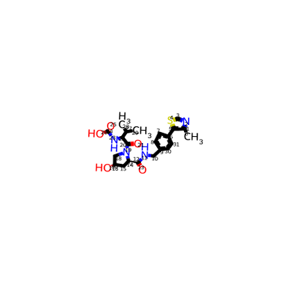 Cc1ncsc1-c1ccc(CNC(=O)[C@H]2C[C@@H](O)CN2C(=O)C(NC(=O)O)C(C)C)cc1